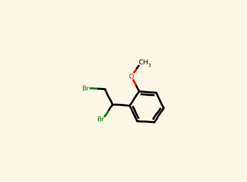 COc1ccccc1C(Br)CBr